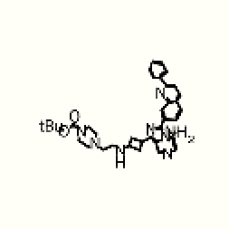 CC(C)(C)OC(=O)N1CCN(CCNC2CC(C3=C4C=NC=C[N+]4(N)C(c4ccc5ccc(-c6ccccc6)nc5c4)=N3)C2)CC1